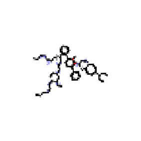 C=CC\C=C/C=C\C(=C\C)C/C(C=C)=C/C=C/N(C/C=C\C=C/CC)c1ccccc1-c1ccc(-c2ccccc2N(C2=CC=C(C(C=C)CC)C=CC2)C(/C=C\C)=C/CC)cc1